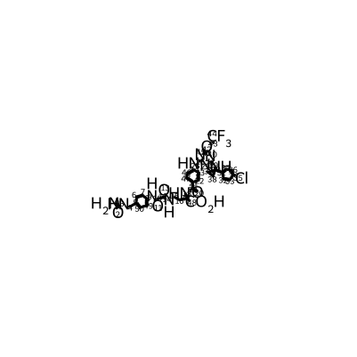 NC(=O)NCc1ccc(NC(=O)C(=O)NCCC(NC(=O)c2ccc(Nc3nc(NC4(c5ccc(Cl)cc5)CC4)nc(OCC(F)(F)F)n3)cc2)C(=O)O)cc1